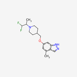 Cc1cc(OCC2CCN(C(C)C(F)F)CC2)cc2[nH]ncc12